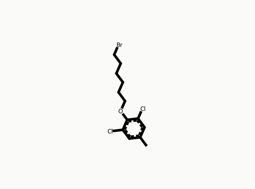 Cc1cc(Cl)c(OCCCCCCBr)c(Cl)c1